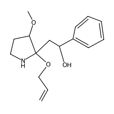 C=CCOC1(CC(O)c2ccccc2)NCCC1OC